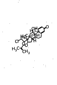 C=C(C)COC1C[C@H]2[C@@H]3CCC4=CC(=O)C=C[C@]4(C)[C@@]3(F)C(O)C[C@]2(C)[C@@]1(O)C(=O)CCl